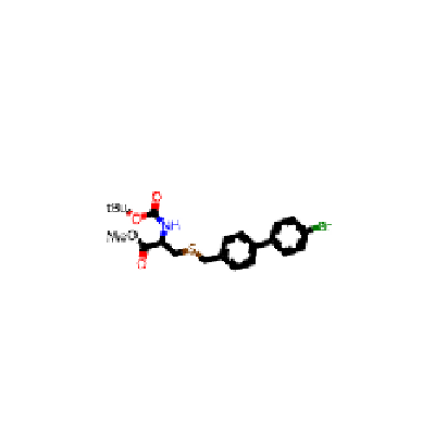 COC(=O)C(CSCc1ccc(-c2ccc(Br)cc2)cc1)NC(=O)OC(C)(C)C